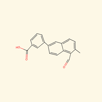 Cc1ccc2cc(-c3cccc(C(=O)O)c3)ccc2c1C=O